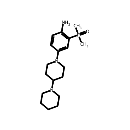 CP(C)(=O)c1cc(N2CCC(N3CCCCC3)CC2)ccc1N